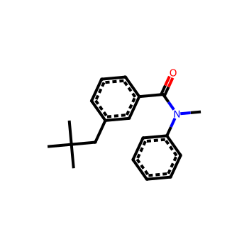 CN(C(=O)c1cccc(CC(C)(C)C)c1)c1ccccc1